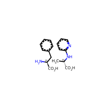 C[C@H](Nc1ccccn1)C(=O)O.N[C@@H](Cc1ccccc1)C(=O)O